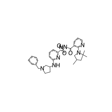 CC1CN(c2ncccc2C(=O)NS(=O)(=O)c2cccc(NC3CCN(Cc4ccccc4)C3)n2)C(C)(C)C1